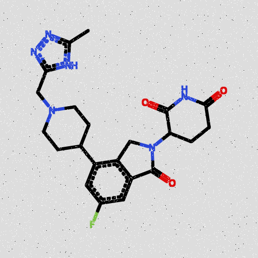 Cc1nnc(CN2CCC(c3cc(F)cc4c3CN(C3CCC(=O)NC3=O)C4=O)CC2)[nH]1